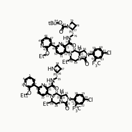 CCOc1ncccc1-c1ccc(N2C[C@H]3CN(c4ccc(Cl)cc4C(F)(F)F)C(=O)N3C[C@H]2CC)c(C(=O)NC[C@H]2CCN2)n1.CCOc1ncccc1-c1ccc(N2C[C@H]3CN(c4ccc(Cl)cc4C(F)(F)F)C(=O)N3C[C@H]2CC)c(C(=O)NC[C@H]2CCN2C(=O)OC(C)(C)C)n1